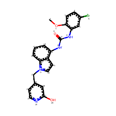 COc1ccc(Br)cc1NC(=O)Nc1cccc2c1ccn2Cc1ccnc(O)c1